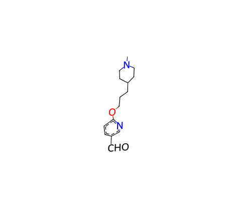 CN1CCC(CCCOc2ccc(C=O)cn2)CC1